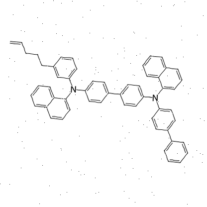 C=CCCCc1cccc(N(c2ccc(-c3ccc(N(c4ccc(-c5ccccc5)cc4)c4cccc5ccccc45)cc3)cc2)c2cccc3ccccc23)c1